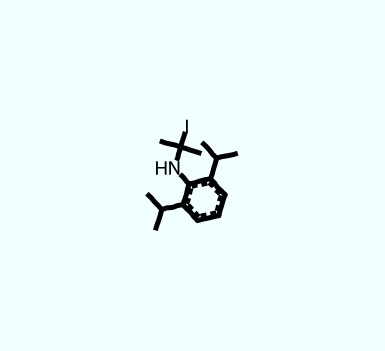 CC(C)c1cccc(C(C)C)c1NC(C)(C)I